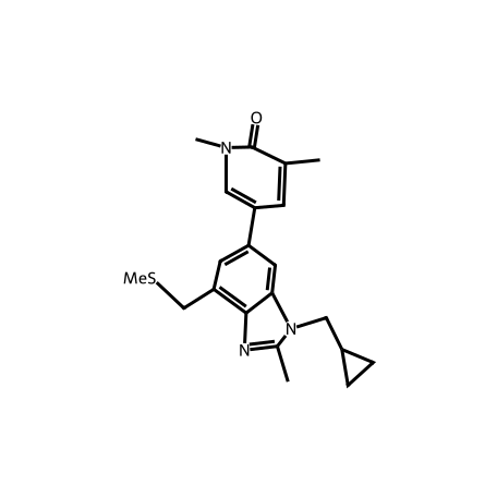 CSCc1cc(-c2cc(C)c(=O)n(C)c2)cc2c1nc(C)n2CC1CC1